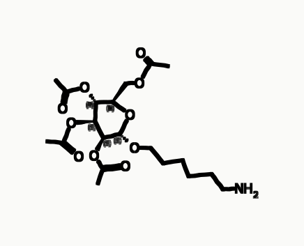 CC(=O)OC[C@H]1O[C@H](OCCCCCCN)[C@@H](OC(C)=O)[C@@H](OC(C)=O)[C@@H]1OC(C)=O